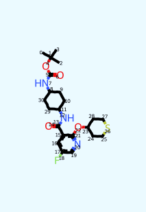 CC(C)(C)OC(=O)NC1CCC(NC(=O)c2cc(F)cnc2OC2CCSCC2)CC1